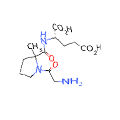 CC1(C(=O)N[C@@H](CCC(=O)O)C(=O)O)CCCN1C(=O)CN